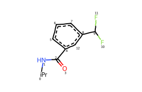 CC(C)NC(=O)c1cccc(C(F)F)c1